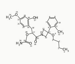 CCCCOC1(c2ccccc2C)CN(C(=O)C(Cc2ccc(OC)cc2O)OC(N)=O)C1